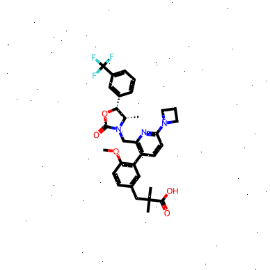 COc1ccc(CC(C)(C)C(=O)O)cc1-c1ccc(N2CCC2)nc1CN1C(=O)O[C@H](c2cccc(C(F)(F)F)c2)[C@@H]1C